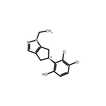 CCn1ncc2c1C[C@@H](c1c(O)ccc(Cl)c1Cl)C2